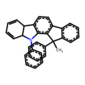 CC1(c2ccccc2)c2ccccc2-c2ccc3c(c21)N(c1ccccc1)C1C=CC=CC31